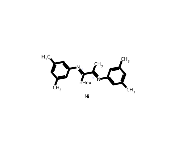 CCCCCCC(=N\c1cc(C)cc(C)c1)/C(C)=N/c1cc(C)cc(C)c1.[Ni]